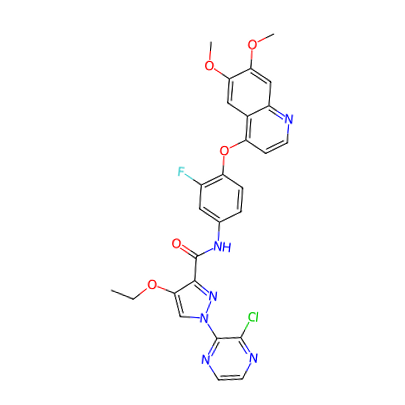 CCOc1cn(-c2nccnc2Cl)nc1C(=O)Nc1ccc(Oc2ccnc3cc(OC)c(OC)cc23)c(F)c1